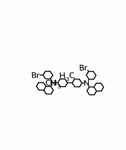 C[C@@H]1CC(N(C2CCCC(Br)C2)C2CCCC3CCCCC32)CCC1C1CCC(N(C2CCCC(Br)C2)C2CCCC3CCCCC32C)CC1